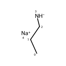 CCC[NH-].[Na+]